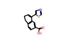 O=C(O)c1ccc2c(c1)C(c1cncs1)=CCC2